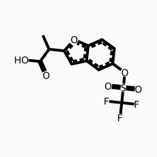 CC(C(=O)O)c1cc2cc(OS(=O)(=O)C(F)(F)F)ccc2o1